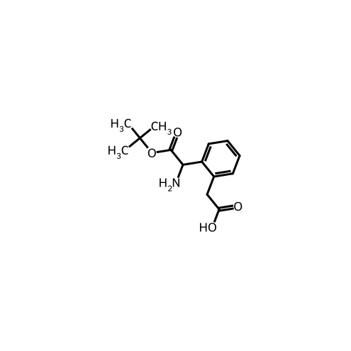 CC(C)(C)OC(=O)C(N)c1ccccc1CC(=O)O